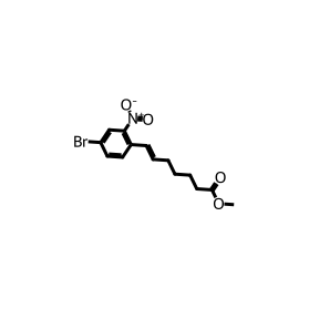 COC(=O)CCCCC=Cc1ccc(Br)cc1[N+](=O)[O-]